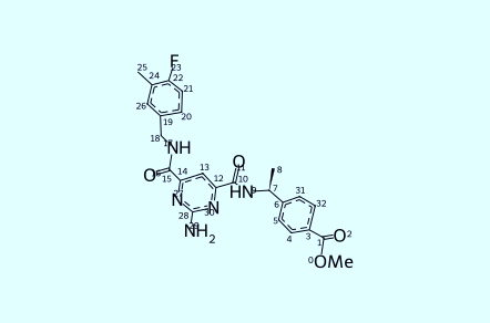 COC(=O)c1ccc([C@H](C)NC(=O)c2cc(C(=O)NCc3ccc(F)c(C)c3)nc(N)n2)cc1